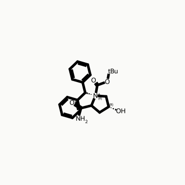 CC(C)(C)OC(=O)[N@@+]1(C(c2ccccc2)c2ccccc2)C[C@H](O)CC1C(N)=O